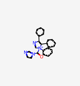 O=C(n1ccnc1)[N+]1(c2ccccc2)C=NC(c2ccccc2)=C1c1ccccc1